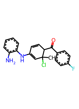 CC1(Cl)C=C(Nc2ccccc2N)C=CC1C(=O)c1ccc(F)cc1